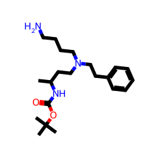 CC(CCN(CCCCN)CCc1ccccc1)NC(=O)OC(C)(C)C